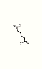 O=C(Cl)CCCC[N+](=O)[O-]